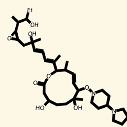 CCC(O)C(C)C1OC1CC(C)(O)/C=C/C=C(\C)C1OC(=O)CC(O)CCC(C)(O)C(ON2CCC(N3CCCC3)CC2)/C=C/C1C